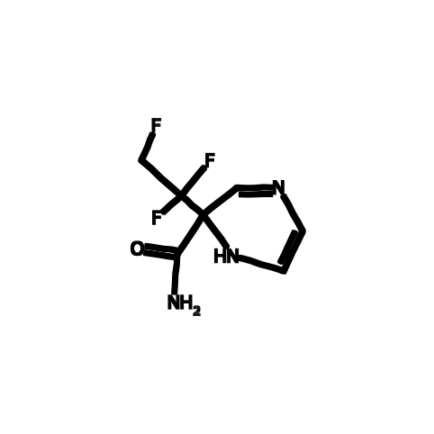 NC(=O)C1(C(F)(F)CF)C=NC=CN1